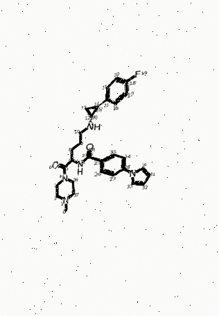 CN1CCN(C(=O)C(CCCN[C@@H]2C[C@H]2c2ccc(F)cc2)NC(=O)c2ccc(-n3cccc3)cc2)CC1